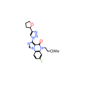 COCCn1c(=O)c2c(-n3cc(C4CCCO4)nn3)ncn2c2ccc(F)cc21